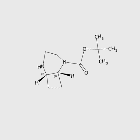 CC(C)(C)OC(=O)N1CCN[C@H]2CC[C@H]21